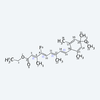 CCOC(=O)/C=C(C)/C(F)=C/C=C(C)/C=C/C1C(C)=CC(C)(OC)C=C1C